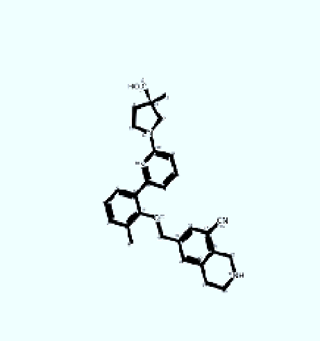 Cc1cccc(-c2cccc(N3CC[C@@](C)(C(=O)O)C3)n2)c1OCc1cc(C#N)c2c(c1)CCNC2